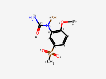 CC(C)Oc1ccc(S(C)(=O)=O)cc1N(S)C(N)=O